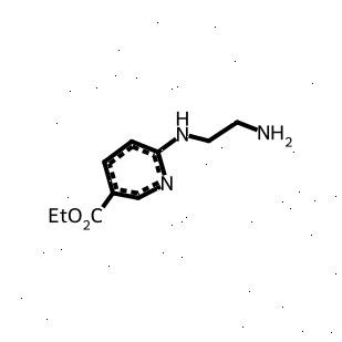 CCOC(=O)c1ccc(NCCN)nc1